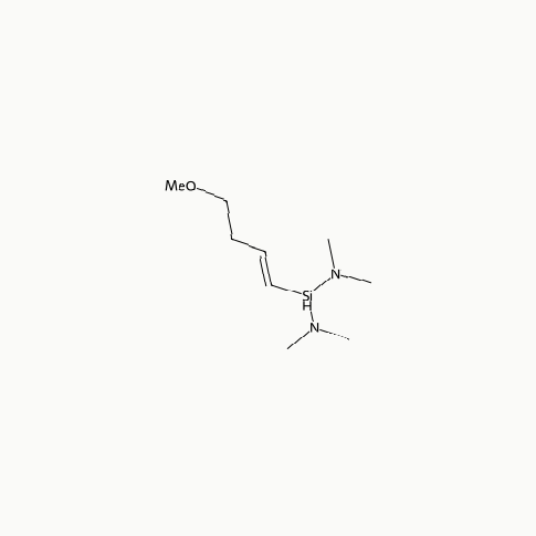 COCCC=C[SiH](N(C)C)N(C)C